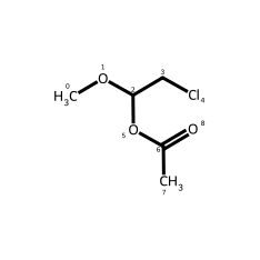 COC(CCl)OC(C)=O